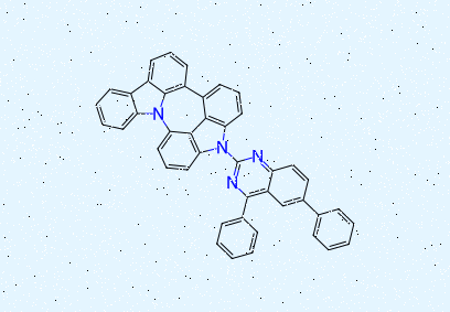 c1ccc(-c2ccc3nc(-n4c5cccc6c7cccc8c9ccccc9n(c9cccc4c9c65)c78)nc(-c4ccccc4)c3c2)cc1